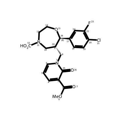 COC(=O)c1cccn(C[C@@H]2CN(C(=O)O)CCO[C@H]2c2ccc(Cl)c(F)c2)c1=O